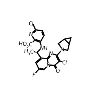 C[C@@H](Nc1ccc(Cl)nc1C(=O)O)c1cc(F)cn2c(=O)c(Cl)c(N3CC4CC4C3)nc12